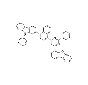 C1=CC2c3ccc(-c4ccc(-c5cc(-c6cccc7c6sc6ccccc67)nc(-c6ccccc6)n5)c5ccccc45)cc3N(c3ccccc3)C2C=C1